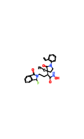 C=Cc1ccccc1N1CCC(CC(C)C)(C(CCN2C(=O)c3ccccc3C2F)C(=O)NO)C1=O